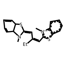 CCC(=Cc1sc2ccccc2[n+]1C)C=C1SC2C=CC=CC2N1C